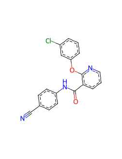 N#Cc1ccc(NC(=O)c2cccnc2Oc2cccc(Cl)c2)cc1